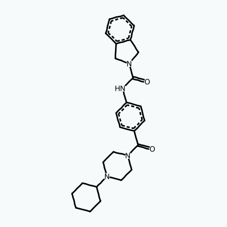 O=C(Nc1ccc(C(=O)N2CCN(C3CCCCC3)CC2)cc1)N1Cc2ccccc2C1